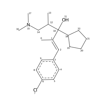 CC(=Cc1ccc(Cl)cc1)C(O)(C(C)CN(C)C)C1CCCC1